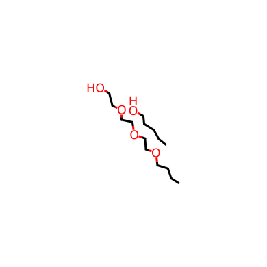 CCCCCO.CCCCOCCOCCOCCO